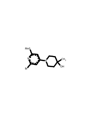 CSc1cc(N2CCC(C)(O)CC2)cc(Br)n1